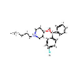 O=C(O)CCCN1CCC(OC(c2ccccc2)c2ccc(F)cc2)CC1